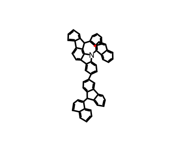 c1ccc(C2c3ccccc3-c3ccc4c5cc(-c6ccc7c(c6)-c6ccccc6C7c6cccc7ccccc67)ccc5n(-c5cccc6ccccc56)c4c32)cc1